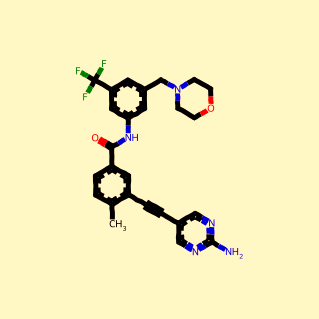 Cc1ccc(C(=O)Nc2cc(CN3CCOCC3)cc(C(F)(F)F)c2)cc1C#Cc1cnc(N)nc1